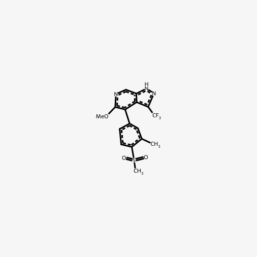 COc1ncc2[nH]nc(C(F)(F)F)c2c1-c1ccc(S(C)(=O)=O)c(C)c1